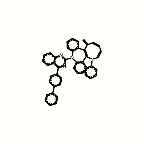 C=C1/C=C\C=C/N(c2ccccc2)C2=C1c1ccccc1N(c1nc(-c3ccc(-c4ccccc4)cc3)c3ccccc3n1)c1ccccc12